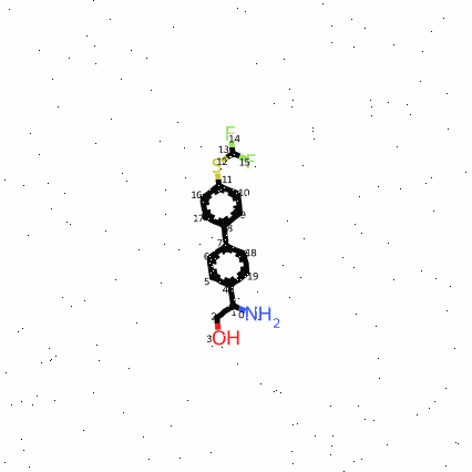 NC(CO)c1ccc(-c2ccc(SC(F)F)cc2)cc1